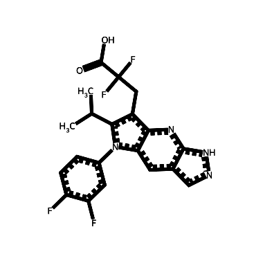 CC(C)c1c(CC(F)(F)C(=O)O)c2nc3[nH]ncc3cc2n1-c1ccc(F)c(F)c1